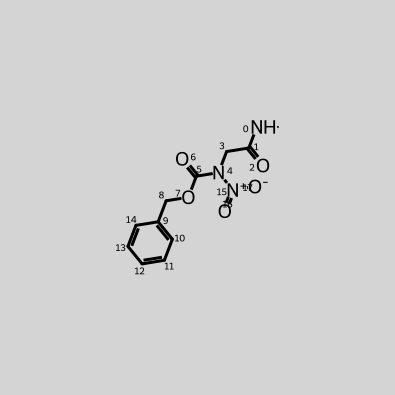 [NH]C(=O)CN(C(=O)OCc1ccccc1)[N+](=O)[O-]